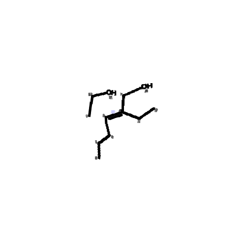 CCC/C=C(\CC)CO.CCO